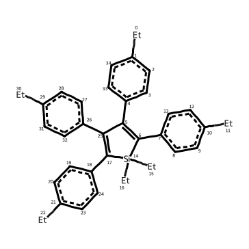 CCc1ccc(C2=C(c3ccc(CC)cc3)[Si](CC)(CC)C(c3ccc(CC)cc3)=C2c2ccc(CC)cc2)cc1